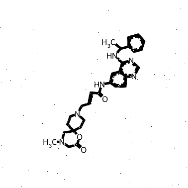 CC(Nc1ncnc2ccc(NC(=O)C=CCN3CCC4(CC3)CN(C)CC(=O)O4)cc12)c1ccccc1